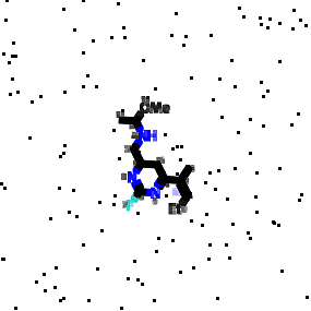 CC/C=C(/C)C1=NC(F)=NC(CNC(C)OC)C1